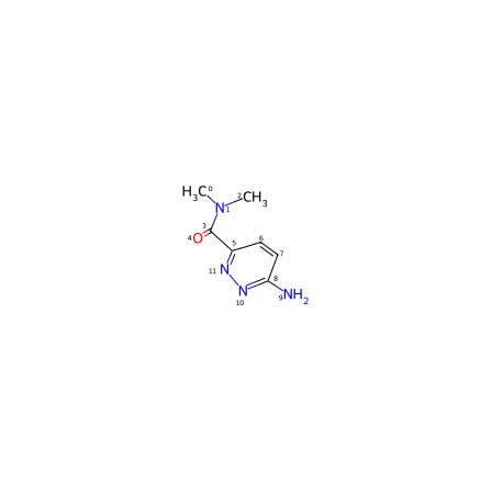 CN(C)C(=O)c1ccc(N)nn1